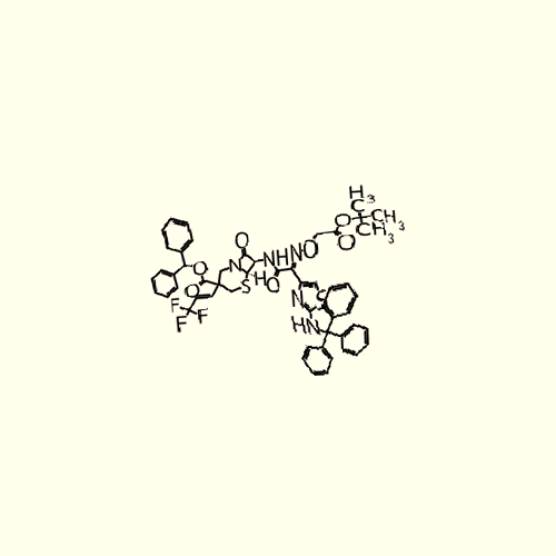 CC(C)(C)OC(=O)CON=C(C(=O)NC1C(=O)N2CC(C=CC(F)(F)F)(C(=O)OC(c3ccccc3)c3ccccc3)CS[C@H]12)c1csc(NC(c2ccccc2)(c2ccccc2)c2ccccc2)n1